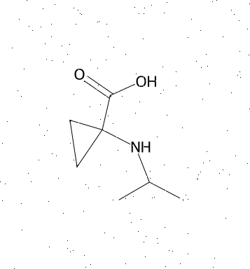 CC(C)NC1(C(=O)O)CC1